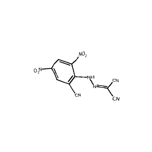 N#CC(C#N)=NNc1c(C#N)cc([N+](=O)[O-])cc1[N+](=O)[O-]